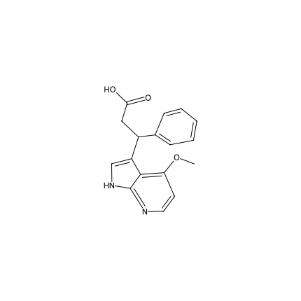 COc1ccnc2[nH]cc(C(CC(=O)O)c3ccccc3)c12